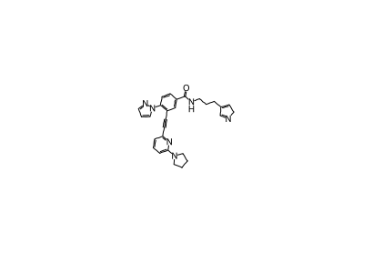 O=C(NCCCC1=CCN=C1)c1ccc(-n2cccn2)c(C#Cc2cccc(N3CCCC3)n2)c1